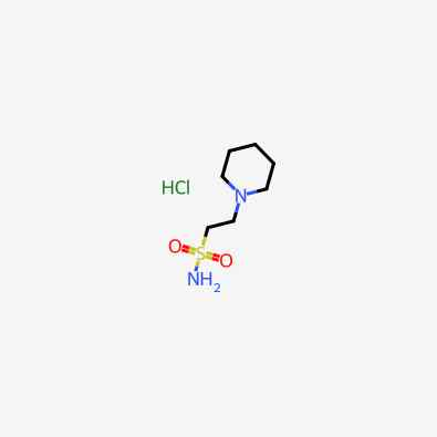 Cl.NS(=O)(=O)CCN1CCCCC1